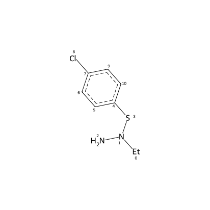 CCN(N)Sc1ccc(Cl)cc1